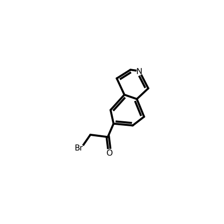 O=C(CBr)c1ccc2cnccc2c1